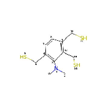 CN(C)c1c(CS)ccc(CS)c1CS